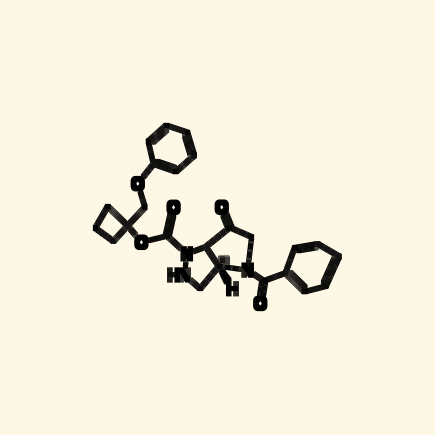 O=C1CN(C(=O)c2ccccc2)[C@@H]2CNN(C(=O)OC3(COc4ccccc4)CCC3)C12